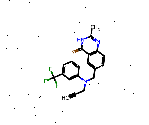 C#CCN(Cc1ccc2nc(C)[nH]c(=S)c2c1)c1cccc(C(F)(F)F)c1